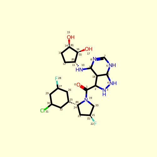 O=C(C1NNC2NC=NC(N[C@@H]3CC[C@@H](O)[C@H]3O)C21)N1C[C@@H](F)C[C@@H]1C1CC(F)CC(Cl)C1